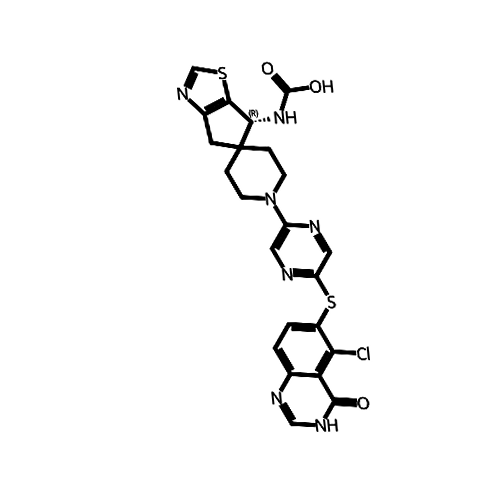 O=C(O)N[C@H]1c2scnc2CC12CCN(c1cnc(Sc3ccc4nc[nH]c(=O)c4c3Cl)cn1)CC2